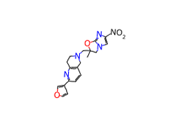 CC1(CN2CCc3nc(-c4ccoc4)ccc3C2)Cn2cc([N+](=O)[O-])nc2O1